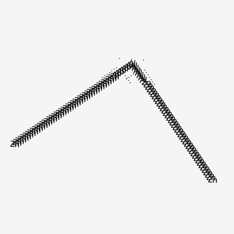 [Al].[Al].[Al].[Al].[Al].[Al].[Al].[Al].[Al].[Al].[Al].[Al].[Al].[Al].[Al].[Zn].[Zn].[Zn].[Zn].[Zn].[Zn].[Zn].[Zn].[Zn].[Zn].[Zn].[Zn].[Zn].[Zn].[Zn].[Zn].[Zn].[Zn].[Zn].[Zn].[Zn].[Zn].[Zn].[Zn].[Zn].[Zn].[Zn].[Zn].[Zn].[Zn].[Zn].[Zn].[Zn].[Zn].[Zn].[Zn].[Zn].[Zn].[Zn].[Zn].[Zn].[Zn].[Zn].[Zn].[Zn].[Zn].[Zn].[Zn].[Zn].[Zn].[Zn].[Zn].[Zn].[Zn].[Zn].[Zn].[Zn].[Zn].[Zn].[Zn].[Zn].[Zn].[Zn].[Zn].[Zn].[Zn].[Zn].[Zn].[Zn].[Zn].[Zn].[Zn].[Zn].[Zn].[Zn].[Zn].[Zn].[Zn].[Zn].[Zn].[Zn].[Zn].[Zn].[Zn].[Zn]